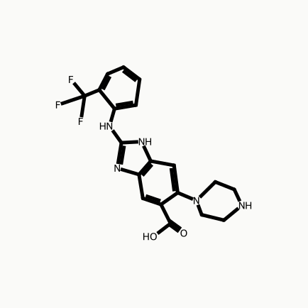 O=C(O)c1cc2nc(Nc3ccccc3C(F)(F)F)[nH]c2cc1N1CCNCC1